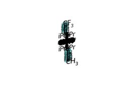 CC(C)[Si](C#Cc1c2cc3ccccc3cc2c(C#C[Si](CCC(F)(F)C(F)(F)C(F)(F)C(F)(F)C(F)(F)C(F)(F)F)(C(C)C)C(C)C)c2cc3ccccc3cc12)(CCC(F)(F)C(F)(F)C(F)(F)C(F)(F)C(F)(F)C(C)(F)F)C(C)C